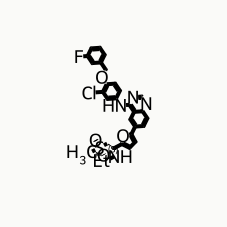 CCN[C@H](CS(C)(=O)=O)c1ccc(-c2ccc3ncnc(Nc4ccc(OCc5cccc(F)c5)c(Cl)c4)c3c2)o1